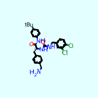 CC(C)(C)c1ccc(NC(=O)[C@H](Cc2ccc(CN)cc2)NC(=O)NCc2ccc(Cl)c(Cl)c2)cc1